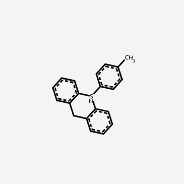 Cc1ccc([SH]2c3ccccc3Cc3ccccc32)cc1